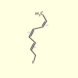 C\C=C/C=C\C=C\CF